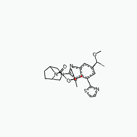 COC(C)c1cc(-c2nccs2)c2oc(N3CC4CCC(C3)N4C(=O)OC(C)(C)C)nc2c1